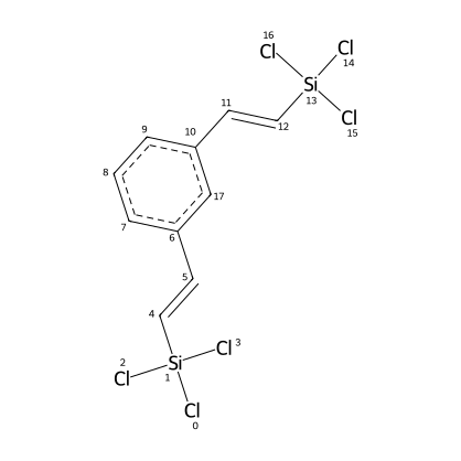 Cl[Si](Cl)(Cl)C=Cc1cccc(C=C[Si](Cl)(Cl)Cl)c1